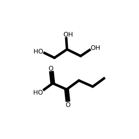 CCCC(=O)C(=O)O.OCC(O)CO